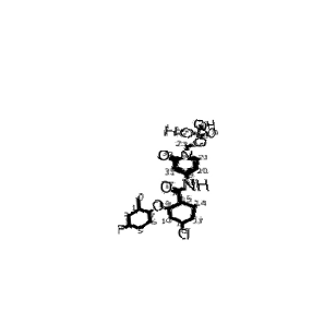 CC1CC(F)CCC1OC1CC(Cl)CCC1C(=O)Nc1ccn(COP(=O)(O)O)c(=O)c1